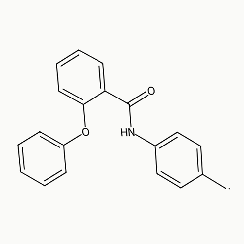 [CH2]c1ccc(NC(=O)c2ccccc2Oc2ccccc2)cc1